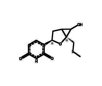 CSC[C@]12O[C@@H](n3ccc(=O)[nH]c3=O)CC1C2O